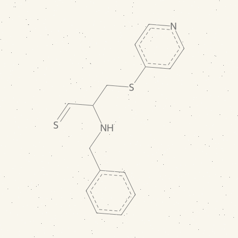 S=[C]C(CSc1ccncc1)NCc1ccccc1